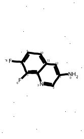 Nc1cnc2c(F)c(F)ccc2c1